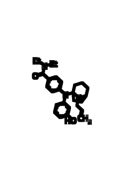 C=CCN1C2CCCC1(N(c1ccc(C(=O)N(CC)CC)cc1)c1cccc(O)c1)CC2